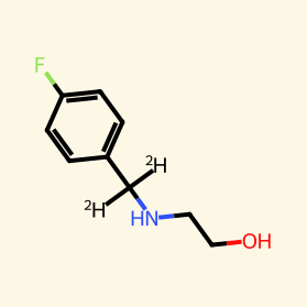 [2H]C([2H])(NCCO)c1ccc(F)cc1